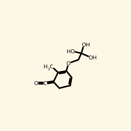 CC1=C(OCC(O)(O)O)C=CCC1=C=O